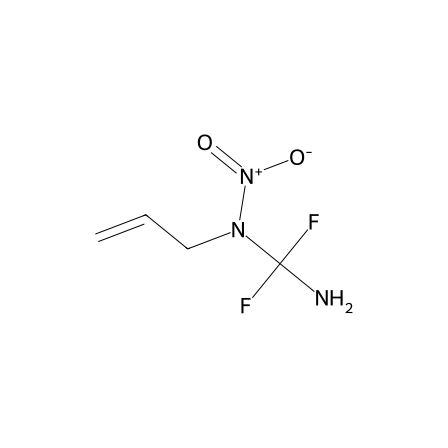 C=CCN([N+](=O)[O-])C(N)(F)F